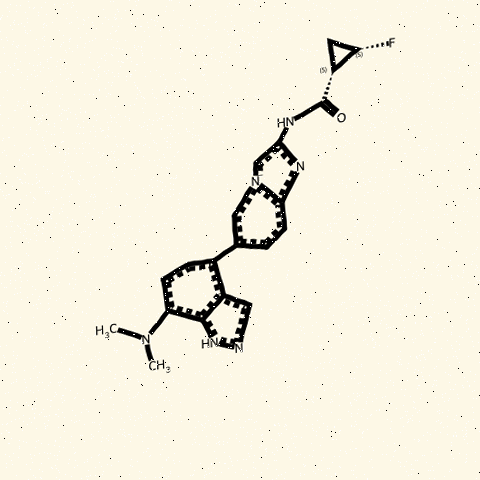 CN(C)c1ccc(-c2ccc3nc(NC(=O)[C@@H]4C[C@@H]4F)cn3c2)c2cn[nH]c12